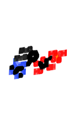 COc1ccc(OC2O[C@H](COP(=O)(O)O)[C@@H](O)[C@H]2O)c(CNc2ncnc3nc[nH]c23)c1OC